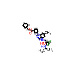 Cc1cc(NCC(O)(CNC(C)C)C(F)(F)F)c2cnn(-c3cccc(C(=O)OCc4ccccc4)c3)c2c1